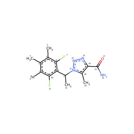 [2H]c1c(C)c(C)c(F)c(C(C)n2nnc(C(N)=O)c2C)c1F